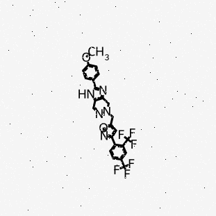 COc1ccc(-c2nc3c([nH]2)C=NN(Cc2cc(-c4ccc(C(F)(F)F)cc4C(F)(F)F)no2)C3)cc1